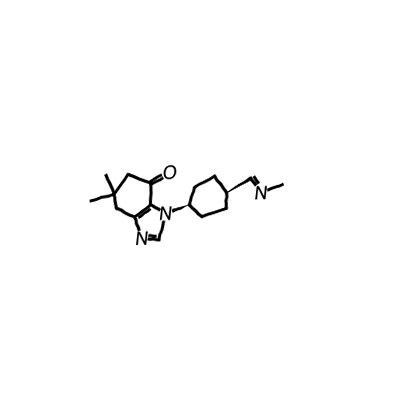 CN=C[C@H]1CC[C@@H](n2cnc3c2C(=O)CC(C)(C)C3)CC1